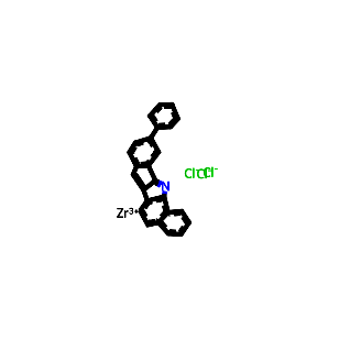 [Cl-].[Cl-].[Cl-].[Zr+3][c]1cc2ccccc2c2c1C1=Cc3ccc(-c4ccccc4)cc3C1=N2